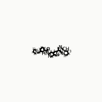 Cn1ncc(-c2cc3cc(NC(=O)c4cccc(CN5CCCC5)c4)ncc3cn2)c1CN1CCCCC1